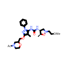 COCCN1C[C@@H](NC(=O)Nc2c(C)c(OCC3CN(C(C)=O)CCO3)nn2-c2ccccc2)[C@H](C)O1